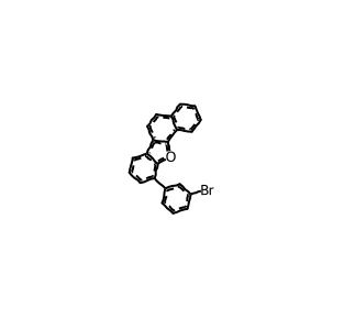 Brc1cccc(-c2cccc3c2oc2c4ccccc4ccc32)c1